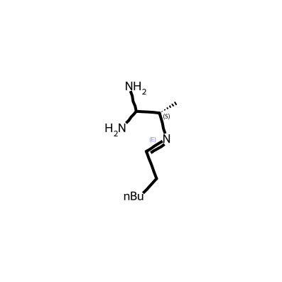 CCCCC/C=N/[C@@H](C)C(N)N